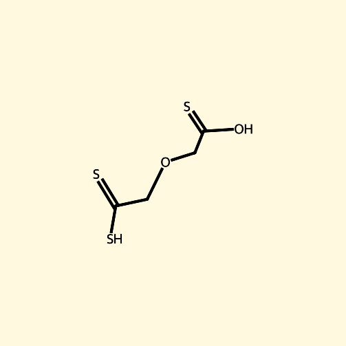 OC(=S)COCC(=S)S